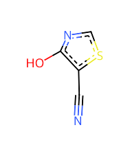 N#Cc1scnc1O